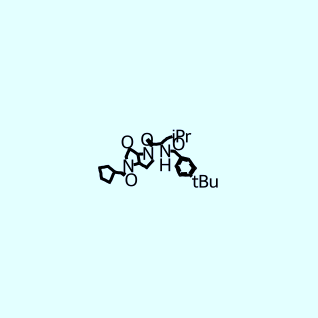 CC(C)CC(NC(=O)c1ccc(C(C)(C)C)cc1)C(=O)N1CCC2C1C(=O)CN2C(=O)C1CCCC1